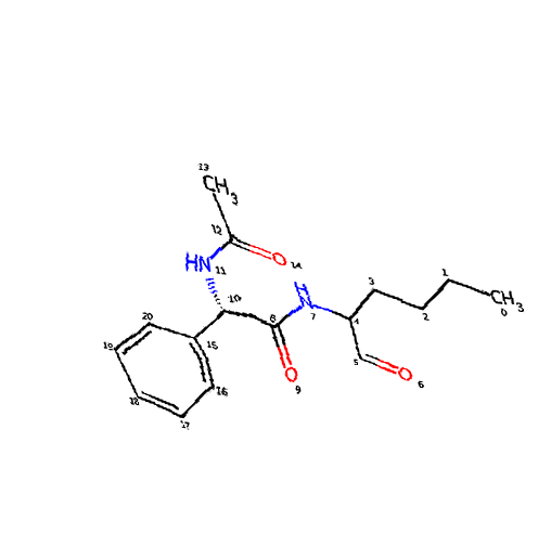 CCCCC(C=O)NC(=O)[C@@H](NC(C)=O)c1ccccc1